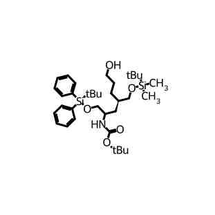 CC(C)(C)OC(=O)NC(CO[Si](c1ccccc1)(c1ccccc1)C(C)(C)C)C[C@@H](CCCO)CO[Si](C)(C)C(C)(C)C